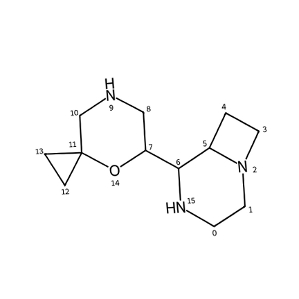 C1CN2CCC2C(C2CNCC3(CC3)O2)N1